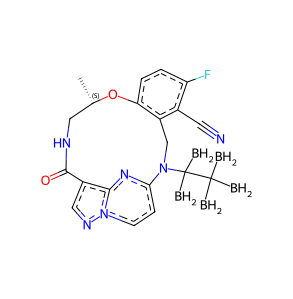 BC(B)(B)C(B)(B)N1Cc2c(ccc(F)c2C#N)O[C@@H](C)CNC(=O)c2cnn3ccc1nc23